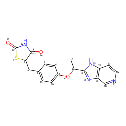 CC(Oc1ccc(CC2SC(=O)NC2=O)cc1)c1nc2cnccc2[nH]1